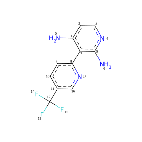 Nc1ccnc(N)c1-c1ccc(C(F)(F)F)cn1